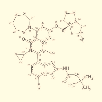 CC(C)(C)OC(=O)Nc1nc2c(-c3c(F)c4nc(OC[C@@]56CCCN5C[C@H](F)C6)nc(N5CCCCCC5)c4c(=O)n3C3CC3)ccc(F)c2s1